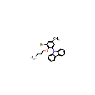 CCCCOc1c(Br)cc(C)cc1-n1c2ccccc2c2ccccc21